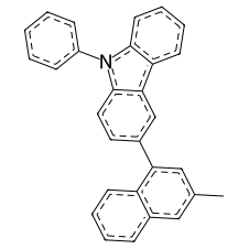 Cc1cc(-c2ccc3c(c2)c2ccccc2n3-c2ccccc2)c2ccccc2c1